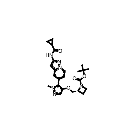 Cn1ncc(OC[C@@H]2CCN2C(=O)OC(C)(C)C)c1-c1ccn2nc(NC(=O)C3CC3)cc2c1